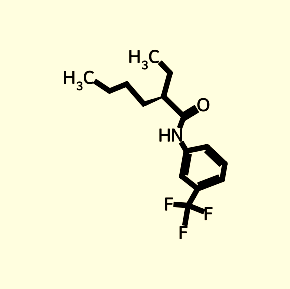 CCCC[C@@H](CC)C(=O)Nc1cccc(C(F)(F)F)c1